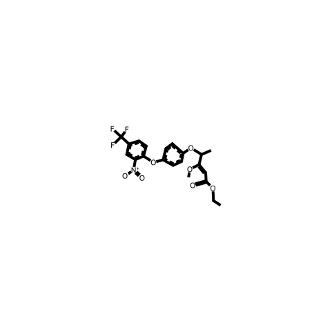 CCOC(=O)C=C(OC)C(C)Oc1ccc(Oc2ccc(C(F)(F)F)cc2[N+](=O)[O-])cc1